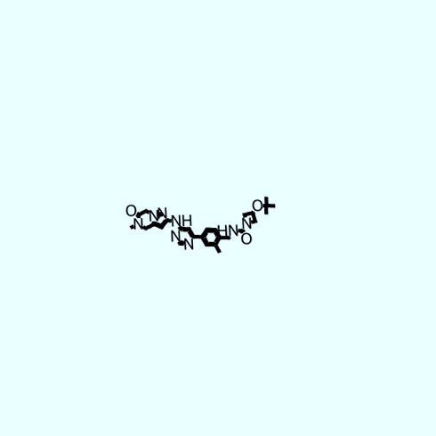 Cc1cc(-c2cc(Nc3cc4n(n3)CC(=O)N(C)C4)ncn2)ccc1CNC(=O)N1CC(OC(C)(C)C)C1